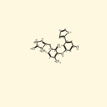 Cn1c(Cn2ccc(C(F)(F)F)c(Oc3cc(Cl)cc(-c4cccs4)c3)c2=O)n[nH]c1=O